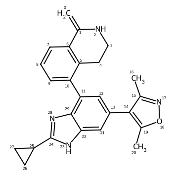 C=C1NCCc2c1cccc2-c1cc(-c2c(C)noc2C)cc2[nH]c(C3CC3)nc12